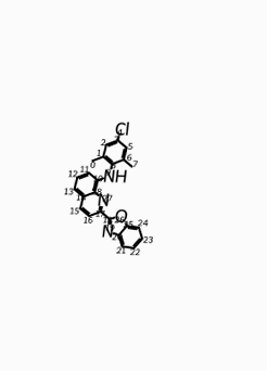 Cc1cc(Cl)cc(C)c1Nc1cccc2ccc(-c3nc4ccccc4o3)nc12